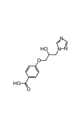 O=C(O)c1ccc(OCC(O)Cn2cncn2)cc1